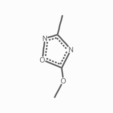 COc1nc(C)no1